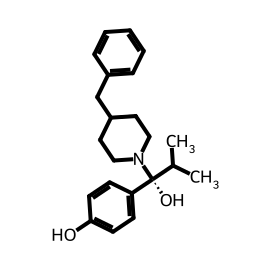 CC(C)[C@@](O)(c1ccc(O)cc1)N1CCC(Cc2ccccc2)CC1